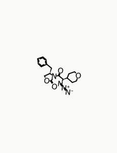 [N-]=[N+]=N[C@@H](C(=O)N1C(=O)OC[C@H]1Cc1ccccc1)C1CCOCC1